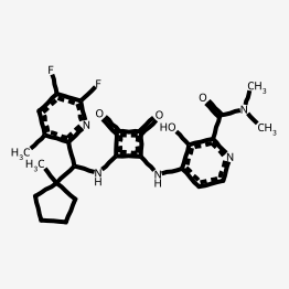 Cc1cc(F)c(F)nc1C(Nc1c(Nc2ccnc(C(=O)N(C)C)c2O)c(=O)c1=O)C1(C)CCCC1